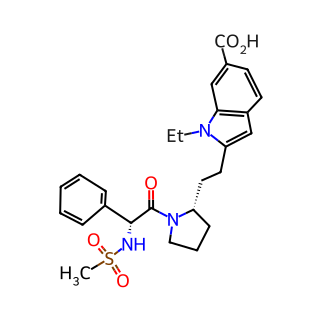 CCn1c(CC[C@@H]2CCCN2C(=O)[C@H](NS(C)(=O)=O)c2ccccc2)cc2ccc(C(=O)O)cc21